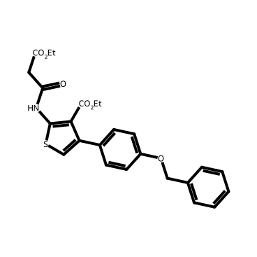 CCOC(=O)CC(=O)Nc1scc(-c2ccc(OCc3ccccc3)cc2)c1C(=O)OCC